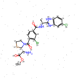 C[C@H](NC(=O)c1ccc(C(=O)N2CCS[C@H]2C(N)C(=O)OC(C)(C)C)c(Br)c1)c1nc2cc(Cl)ccc2[nH]1